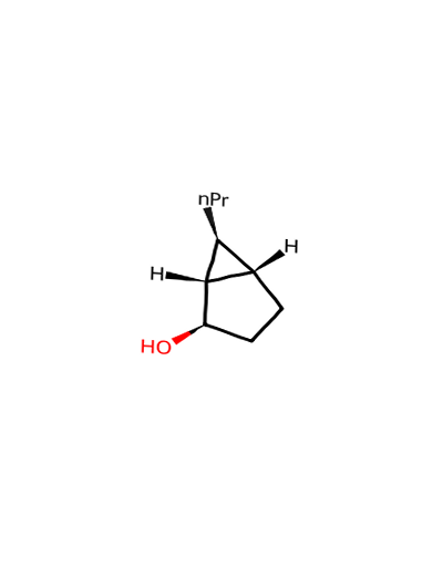 CCC[C@H]1[C@@H]2CC[C@@H](O)[C@H]12